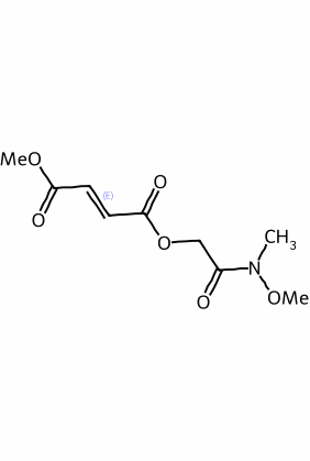 COC(=O)/C=C/C(=O)OCC(=O)N(C)OC